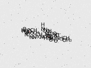 COc1cc(CN2CCN(C3CC4(CCN(c5ccc(C(=O)NS(=O)(=O)c6cc([N+](=O)[O-])c7c(n6)OC[C@H](C6CCC(C)(O)CC6)N7)c(N6c7cc8cc[nH]c8nc7O[C@H]7COCC[C@@H]76)c5)CC4)C3C)[C@@H](c3ccccc3OC(C)C)C2)cnc1N1CCOCC1